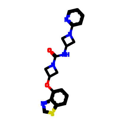 O=C(NC1CN(c2ccccn2)C1)N1CC(Oc2cccc3scnc23)C1